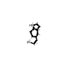 CC(C)/C=C\c1ccc2[nH]ccc2c1